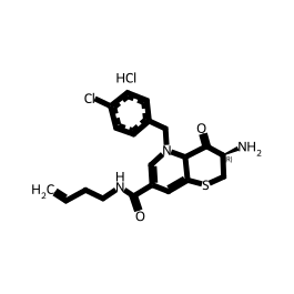 C=CCCNC(=O)C1=CN(Cc2ccc(Cl)cc2)C2C(=O)[C@@H](N)CSC2=C1.Cl